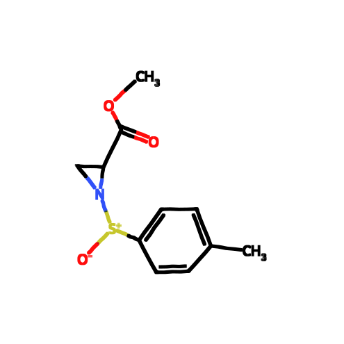 COC(=O)C1CN1[S+]([O-])c1ccc(C)cc1